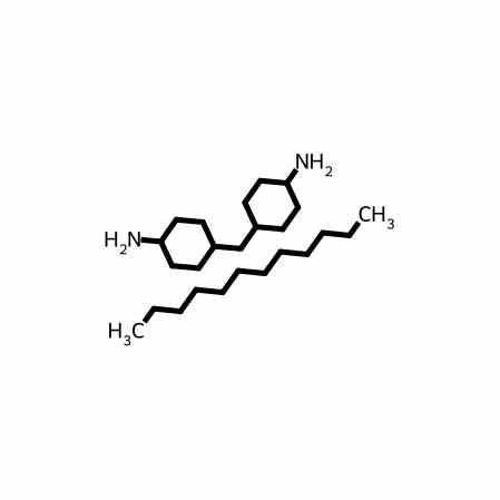 CCCCCCCCCCCC.NC1CCC(CC2CCC(N)CC2)CC1